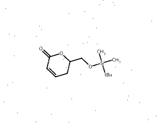 CC(C)(C)[Si](C)(C)OCC1CC=CC(=O)O1